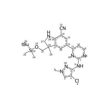 Cn1cc(Cl)c(Nc2nccc(-c3cc(C#N)c4c(c3)C(C)(CO[Si](C)(C)C(C)(C)C)CN4)n2)n1